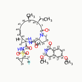 CC[C@H]1CC(=O)N2C[C@H](Oc3nc(OC)cc4cc(OC)ccc34)C[C@H]2C(=O)N[C@]2(C(=O)NS(=O)(=O)C3(CF)CC3)C[C@H]2/C=C\CC[C@@H](C)C1